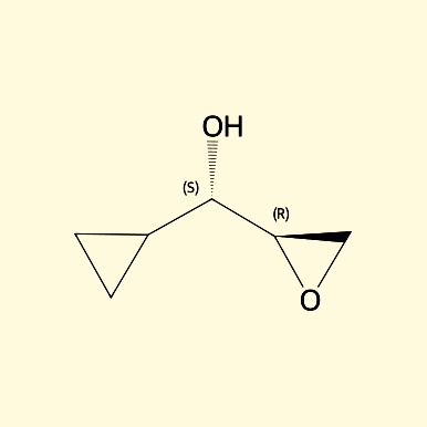 O[C@@H](C1CC1)[C@H]1CO1